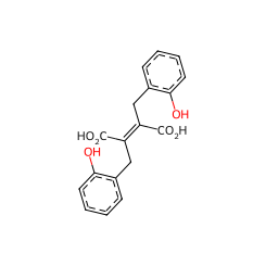 O=C(O)C(Cc1ccccc1O)=C(Cc1ccccc1O)C(=O)O